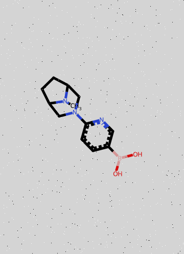 CN1C2CCC1CN(c1ccc(B(O)O)cn1)C2